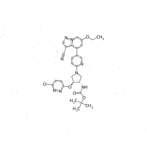 CCOc1cc(-c2ccc(N3C[C@H](NC(=O)OC(C)(C)C)[C@@H](Oc4ccc(Cl)nn4)C3)nc2)c2c(C#N)cnn2c1